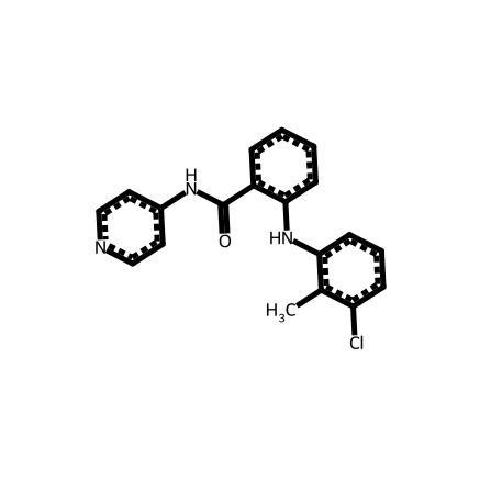 Cc1c(Cl)cccc1Nc1ccccc1C(=O)Nc1ccncc1